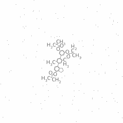 C=C(C)C(=O)Oc1cc(OC(=O)C(=C)C)cc(-c2cc(C)c(-c3ccc(OC(=O)C(=C)C)c4c3CCC4)cc2C)c1